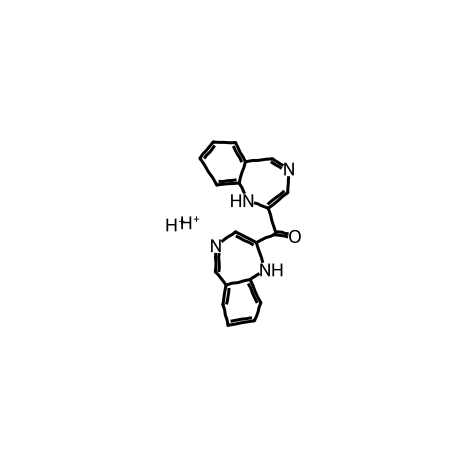 O=C(C1=CN=Cc2ccccc2N1)C1=CN=Cc2ccccc2N1.[H+].[H+]